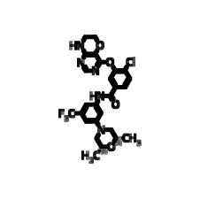 C[C@@H]1CN(c2cc(NC(=O)c3ccc(Cl)c(Oc4ncnc5c4OCCN5)c3)cc(C(F)(F)F)c2)C[C@H](C)O1